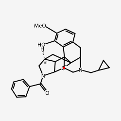 COc1ccc2c(c1O)C13CCN(CC4CC4)C(C2)C12CCC1C3[C@@H](CN1C(=O)c1ccccc1)C2